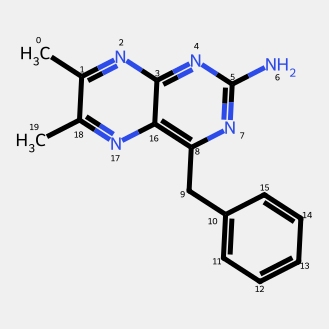 Cc1nc2nc(N)nc(Cc3ccccc3)c2nc1C